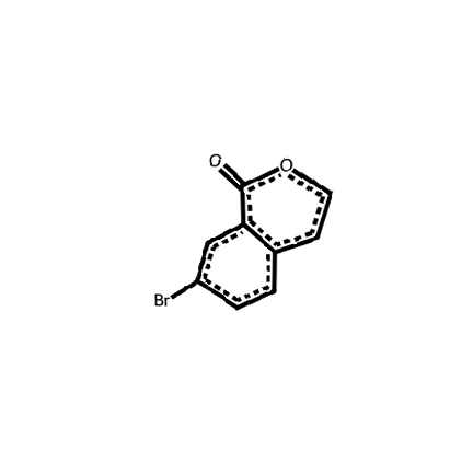 O=c1occc2ccc(Br)cc12